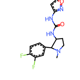 CN1CCC(NC(=O)Nc2ccon2)C1c1ccc(F)c(F)c1